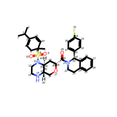 CC(C)C1=CCC(C)(S(=O)(=O)N2CCN[C@H]3CO[C@@H](C(=O)N4CCc5ccccc5[C@@H]4c4ccc(F)cc4)C[C@@H]32)C=C1